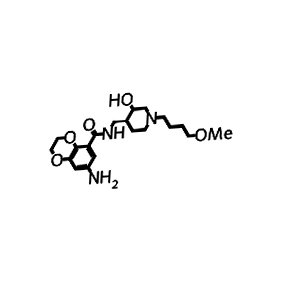 COCCCCN1CC[C@@H](CNC(=O)c2cc(N)cc3c2OCCO3)C(O)C1